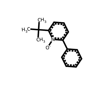 CC(C)(C)c1cccc(-c2ccccc2)[n+]1[O-]